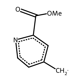 [CH2]c1ccnc(C(=O)OC)c1